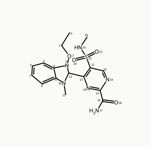 CCON1c2ccccc2N(C)C1c1nc(C(N)=O)ncc1S(=O)(=O)NC